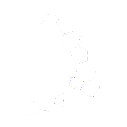 Nc1nccn2c1c(-c1ccc3ccc(-c4ccccc4)nc3c1)nc2[C@H]1C[C@@H](NC2CCC2)C1